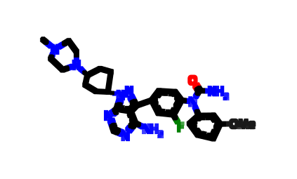 COc1cccc(N(C(N)=O)c2ccc(-c3nn([C@H]4CC[C@H](N5CCN(C)CC5)CC4)c4ncnc(N)c34)cc2F)c1